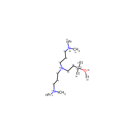 CCCN(C)CCCN(CCCN(C)CCC)CC[Si](CC)(CC)OCC